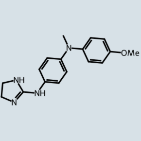 COc1ccc(N(C)c2ccc(NC3=NCCN3)cc2)cc1